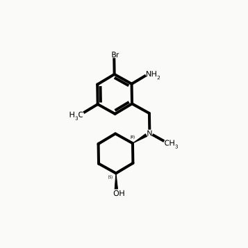 Cc1cc(Br)c(N)c(CN(C)[C@@H]2CCC[C@H](O)C2)c1